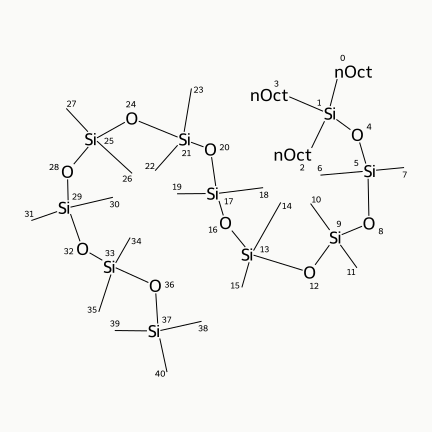 CCCCCCCC[Si](CCCCCCCC)(CCCCCCCC)O[Si](C)(C)O[Si](C)(C)O[Si](C)(C)O[Si](C)(C)O[Si](C)(C)O[Si](C)(C)O[Si](C)(C)O[Si](C)(C)O[Si](C)(C)C